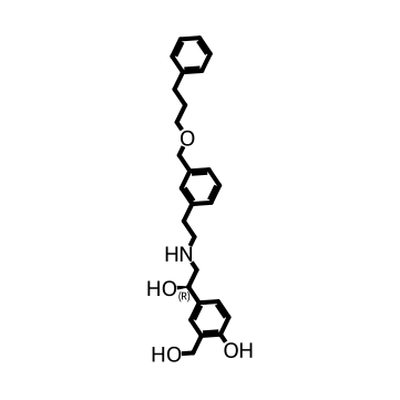 OCc1cc([C@@H](O)CNCCc2cccc(COCCCc3ccccc3)c2)ccc1O